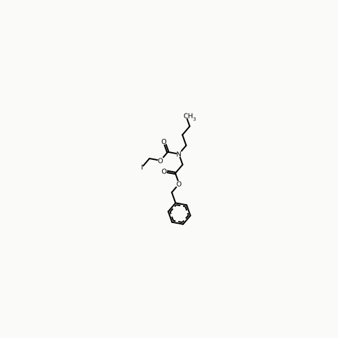 CCCCN(CC(=O)OCc1ccccc1)C(=O)OCI